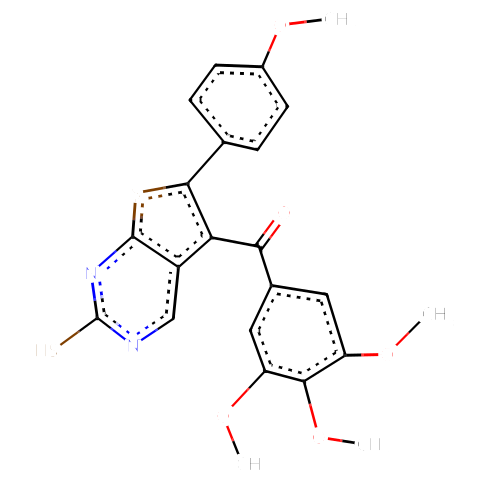 COc1ccc(-c2sc3nc(S)ncc3c2C(=O)c2cc(OC)c(OC)c(OC)c2)cc1